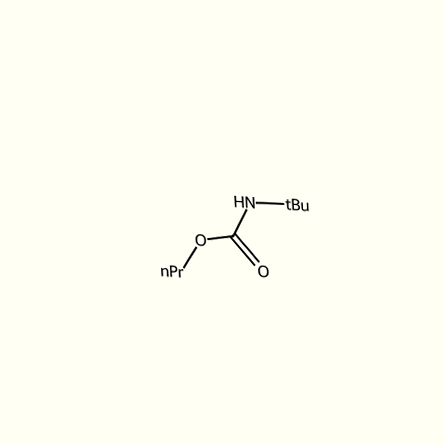 CCCOC(=O)NC(C)(C)C